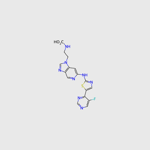 O=C(O)NCCn1cnc2cnc(Nc3ncc(-c4ncncc4F)s3)cc21